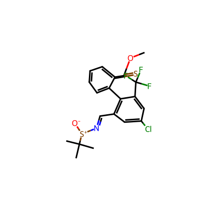 COC(=S)c1ccccc1-c1c(/C=N/[S+]([O-])C(C)(C)C)cc(Cl)cc1C(F)(F)F